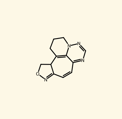 C1=CC2=NOCC2C2=C3C1=NC=NN3CCC2